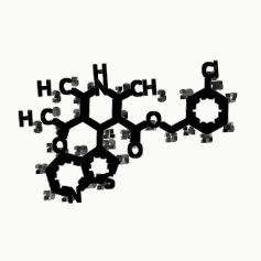 CC(=O)C1=C(C)NC(C)=C(C(=O)OCc2cccc(Cl)c2)C1c1csc2ncccc12